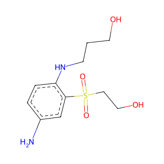 Nc1ccc(NCCCO)c(S(=O)(=O)CCO)c1